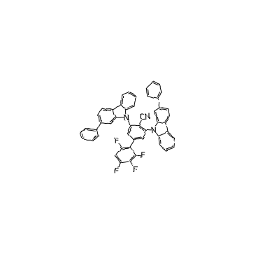 N#Cc1c(-n2c3ccccc3c3ccc(-c4ccccc4)cc32)cc(-c2c(F)cc(F)c(F)c2F)cc1-n1c2ccccc2c2ccc(-c3ccccc3)cc21